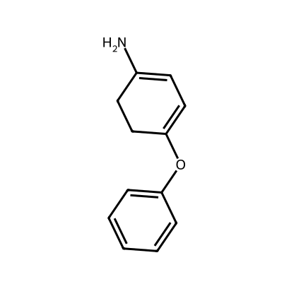 NC1=CC=C(Oc2ccccc2)CC1